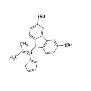 C[C](C)=[Zn]([C]1=CC=CC1)[CH]1c2ccc(C(C)(C)C)cc2-c2cc(C(C)(C)C)ccc21